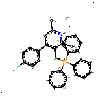 Cc1cc(-c2ccc(F)cc2)c(C[P+](c2ccccc2)(c2ccccc2)c2ccccc2)c(C)n1.[Br-]